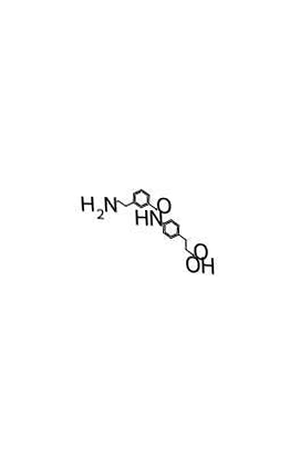 NCCc1cccc(C(=O)Nc2ccc(CCC(=O)O)cc2)c1